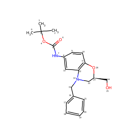 CC(C)(C)OC(=O)Nc1ccc2c(c1)N(Cc1ccccc1)C[C@H](CO)O2